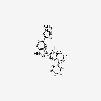 Cn1cc(-c2ccc3[nH]nc(-c4nc5c(N6CCCCC6)ccnc5[nH]4)c3n2)cn1